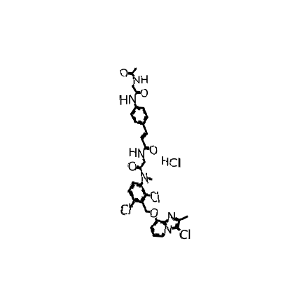 CC(=O)NCC(=O)Nc1ccc(C=CC(=O)NCC(=O)N(C)c2ccc(Cl)c(COc3cccn4c(Cl)c(C)nc34)c2Cl)cc1.Cl